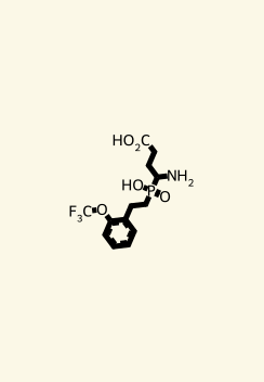 NC(CCC(=O)O)P(=O)(O)CCc1ccccc1OC(F)(F)F